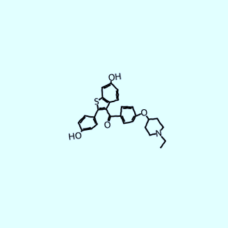 CCN1CCC(Oc2ccc(C(=O)c3c(-c4ccc(O)cc4)sc4cc(O)ccc34)cc2)CC1